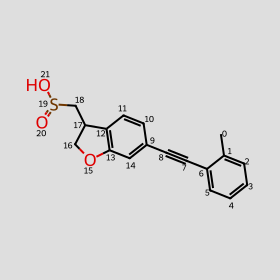 Cc1ccccc1C#Cc1ccc2c(c1)OCC2CS(=O)O